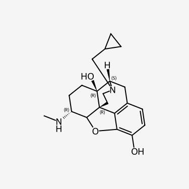 CN[C@@H]1CC[C@]2(O)[C@@H]3Cc4ccc(O)c5c4[C@]2(CCN3CC2CC2)C1O5